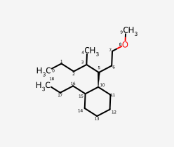 CCCC(C)C(CCOC)[C@H]1CCCCC1CCC